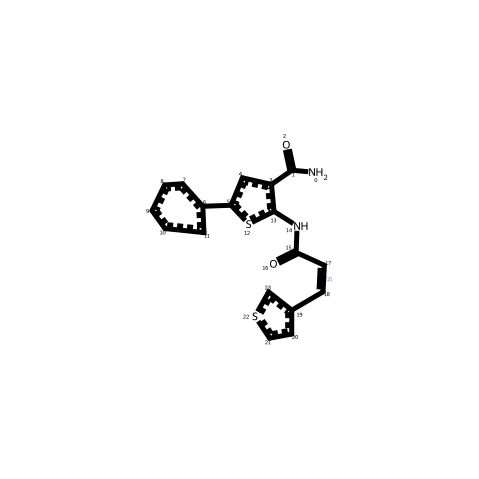 NC(=O)c1cc(-c2ccccc2)sc1NC(=O)/C=C\c1ccsc1